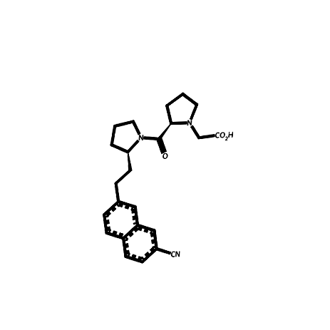 N#Cc1ccc2ccc(CC[C@H]3CCCN3C(=O)[C@H]3CCCN3CC(=O)O)cc2c1